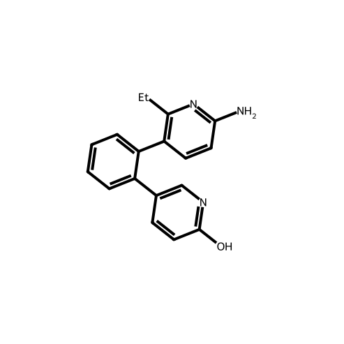 CCc1nc(N)ccc1-c1ccccc1-c1ccc(O)nc1